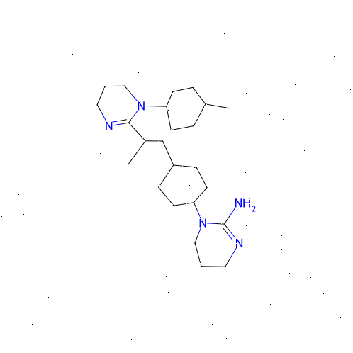 CC1CCC(N2CCCN=C2C(C)CC2CCC(N3CCCN=C3N)CC2)CC1